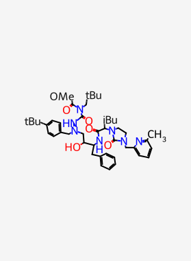 CCC(C)C(C(=O)NC(Cc1ccccc1)C(O)CN(Cc1ccc(C(C)(C)C)cc1)NC(=O)N(CC(C)(C)C)C(=O)OC)N1CCN(Cc2cccc(C)n2)C1=O